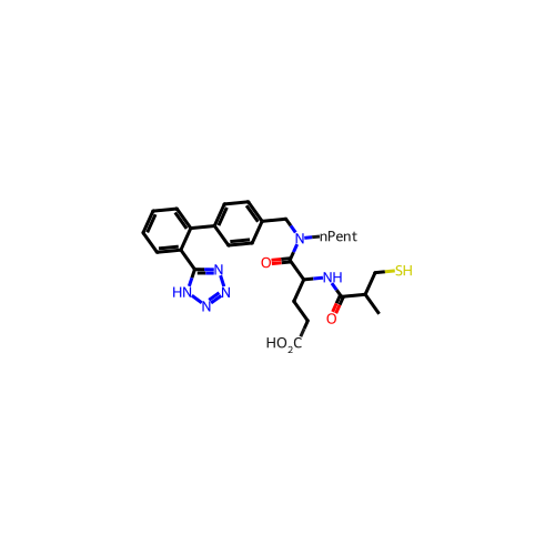 CCCCCN(Cc1ccc(-c2ccccc2-c2nnn[nH]2)cc1)C(=O)C(CCC(=O)O)NC(=O)C(C)CS